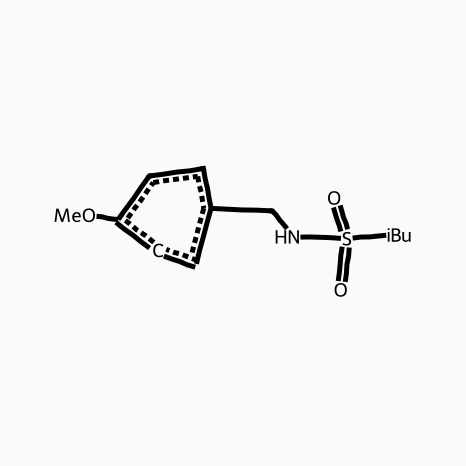 CCC(C)S(=O)(=O)NCc1ccc(OC)cc1